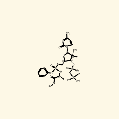 CC(C)OC(=O)[C@H](C)NP(=O)(OC[C@H]1O[C@@H](n2ccc(N)nc2=O)[C@](C)(C#N)[C@@H]1O[Si](O[Si](O)(C(C)C)C(C)C)(C(C)C)C(C)C)Oc1ccccc1